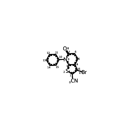 N#Cc1sc2c(ccc(=O)n2-c2ccccc2)c1Br